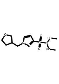 CPN(PC)S(=O)(=O)c1ccn(CC2CCOC2)n1